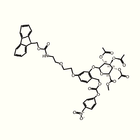 COC(=O)[C@H]1OC(Oc2cc(OCCOCCNC(=O)OCC3c4ccccc4-c4ccccc43)ccc2COC(=O)Oc2ccc([N+](=O)[O-])cc2)[C@H](OC(C)=O)[C@@H](OC(C)=O)[C@@H]1OC(C)=O